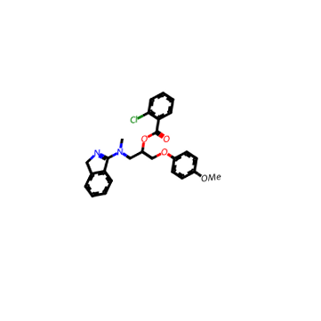 COc1ccc(OCC(CN(C)C2=NCc3ccccc32)OC(=O)c2ccccc2Cl)cc1